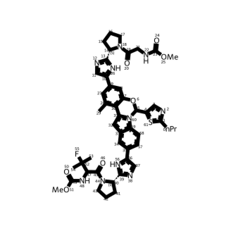 CCCc1ncc(C2Oc3cc(-c4cnc([C@@H]5CCCN5C(=O)CNC(=O)OC)[nH]4)cc(C)c3-c3cc4cc(-c5cnc([C@@H]6CCCN6C(=O)C(NC(=O)OC)C(C)(C)F)[nH]5)ccc4n32)s1